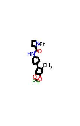 CCn1cccc1C(=O)Nc1ccc(-c2cc3c(cc2C)OC(F)(F)O3)cc1